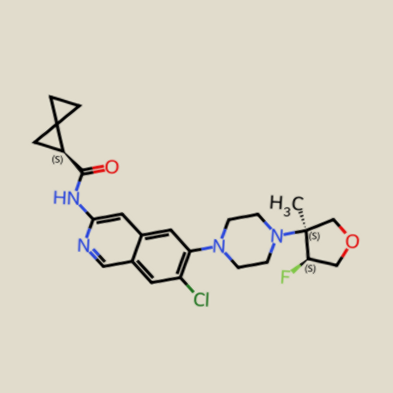 C[C@]1(N2CCN(c3cc4cc(NC(=O)[C@H]5CC56CC6)ncc4cc3Cl)CC2)COC[C@H]1F